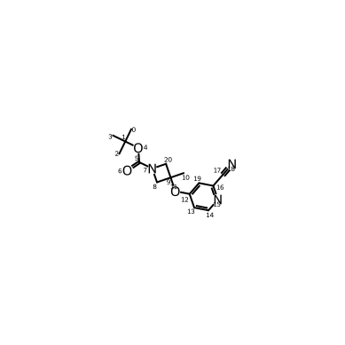 CC(C)(C)OC(=O)N1CC(C)(Oc2ccnc(C#N)c2)C1